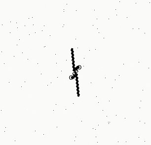 CCCCCCCCCCCCc1cc(-c2cc(CCCCCCCCCCCC)c(C=O)s2)sc1C=O